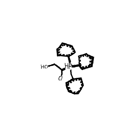 OCC(Cl)[PH](c1ccccc1)(c1ccccc1)c1ccccc1